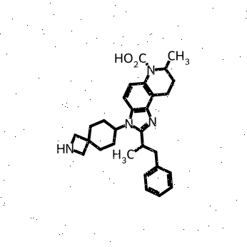 CC(Cc1ccccc1)c1nc2c3c(ccc2n1C1CCC2(CC1)CNC2)N(C(=O)O)C(C)CC3